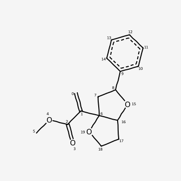 C=C(C(=O)OC)C12CC(c3ccccc3)OC1CCO2